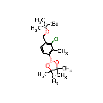 Cc1c(B2OC(C)(C)C(C)(C)O2)ccc(CO[Si](C)(C)C(C)(C)C)c1Cl